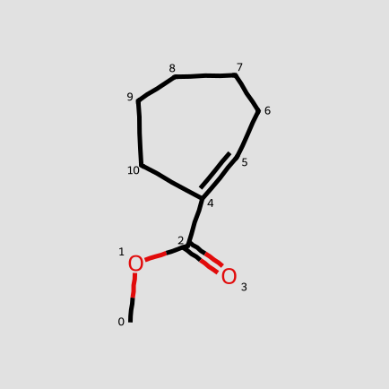 COC(=O)C1=CCCCCC1